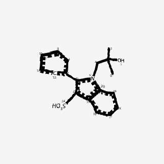 CC(C)(O)Cn1c(-c2ccccc2)c(S(=O)(=O)O)c2ccccc21